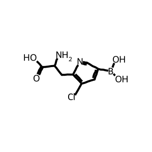 NC(Cc1ncc(B(O)O)cc1Cl)C(=O)O